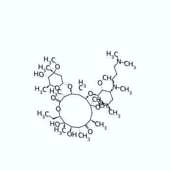 CC[C@H]1OC(=O)[C@H](C)[C@@H](O[C@H]2C[C@@](C)(OC)[C@@H](O)[C@H](C)O2)[C@H](C)[C@@H](O[C@@H]2O[C@H](C)C[C@H](N(C)CCCN(C)C)[C@H]2OC)[C@@](C)(OC)C[C@@H](C)C(=O)[C@H](C)[C@@H](O)[C@]1(C)O